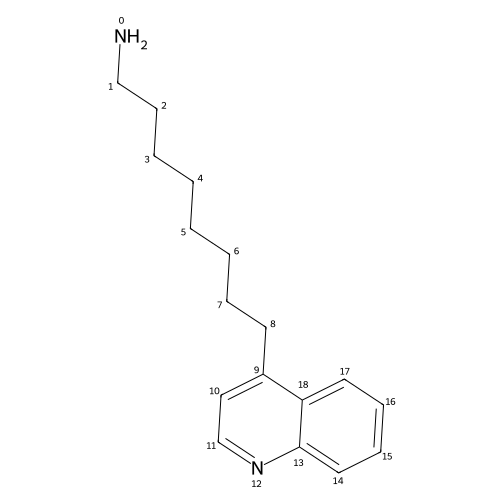 NCCCCCCCCc1ccnc2ccccc12